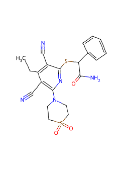 CCc1c(C#N)c(SC(C(N)=O)c2ccccc2)nc(N2CCS(=O)(=O)CC2)c1C#N